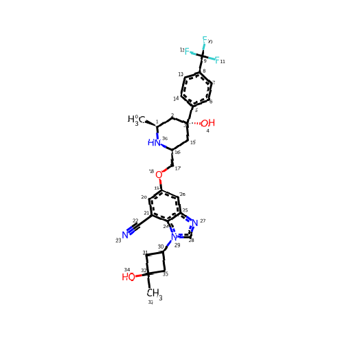 C[C@H]1C[C@@](O)(c2ccc(C(F)(F)F)cc2)C[C@@H](COc2cc(C#N)c3c(c2)ncn3C2CC(C)(O)C2)N1